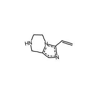 C=Cc1ncc2n1CCNC2